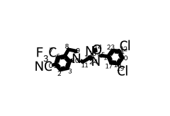 N#Cc1ccc2c(c1C(F)(F)F)CCN2Cc1noc(-c2cc(Cl)cc(Cl)c2)n1